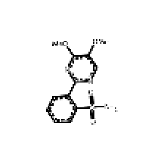 COc1cnc(-c2ccccc2S(N)(=O)=O)nc1OC